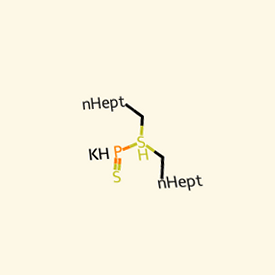 CCCCCCCC[SH](CCCCCCCC)P=S.[KH]